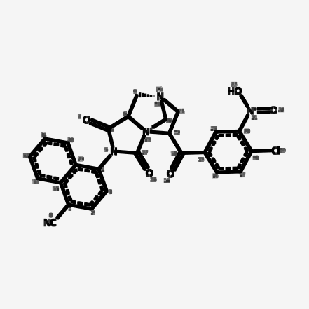 N#Cc1ccc(N2C(=O)C3C[N@]4CC(C(=O)c5ccc(Cl)c([N+](=O)O)c5)[N+]3(C4)C2=O)c2ccccc12